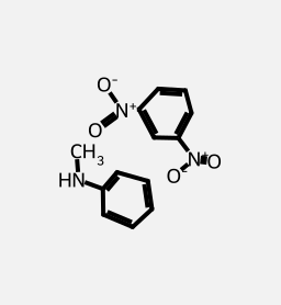 CNc1ccccc1.O=[N+]([O-])c1cccc([N+](=O)[O-])c1